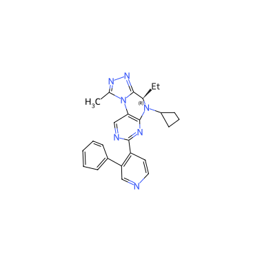 CC[C@@H]1c2nnc(C)n2-c2cnc(-c3ccncc3-c3ccccc3)nc2N1C1CCC1